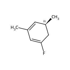 CC1=C[C@@H](C)CC(F)=C1